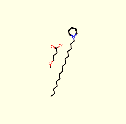 CCCCCCCCCCCCCCCC[n+]1ccccc1.COCCCC(=O)[O-]